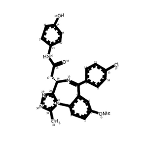 COc1ccc2c(c1)C(c1ccc(Cl)cc1)=N[C@@H](CC(=O)Nc1ccc(O)cc1)c1nnc(C)n1-2